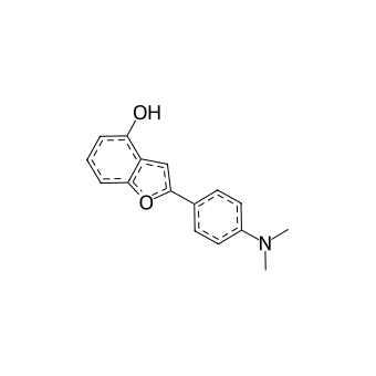 CN(C)c1ccc(-c2cc3c(O)cccc3o2)cc1